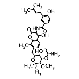 CO[C@@H]1[C@@H](OC(N)=O)[C@@H](O)[C@H](Cc2ccc3c(O)c(NC(=O)c4ccc(O)c(CC=C(C)C)c4)c(=O)oc3c2C)OC1(C)C